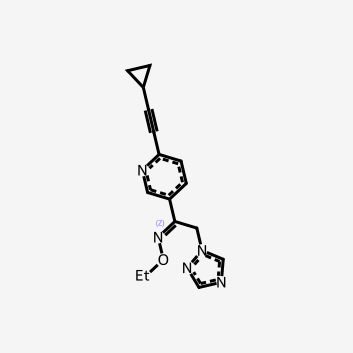 CCO/N=C(\Cn1cncn1)c1ccc(C#CC2CC2)nc1